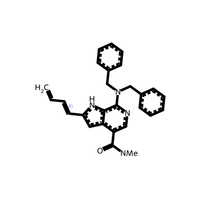 C=C/C=C/c1cc2c(C(=O)NC)cnc(N(Cc3ccccc3)Cc3ccccc3)c2[nH]1